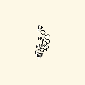 O=C(Nc1c(Br)cc(C(F)(C(F)(F)F)C(F)(F)F)cc1I)c1cccc(N(O)C(=O)c2ccc(C(F)(F)F)nc2)c1F